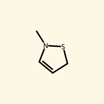 CN1C=CCS1